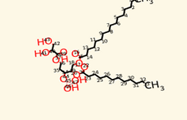 CCCCCCCCCCCCCCCC(=O)OCC(OC(=O)CCCCCCCCCCC)C(CCOC(O)C(O)CO)OB(O)O